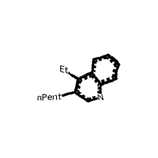 CCCCCc1cnc2ccccc2c1CC